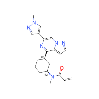 C=CC(=O)N(C)[C@H]1CCC[C@@H](c2nc(-c3cnn(C)c3)cn3nccc23)C1